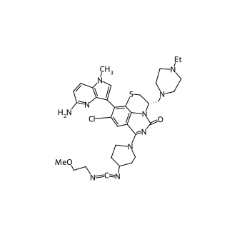 CCN1CCN(C[C@H]2CSc3c(-c4cn(C)c5ccc(N)nc45)c(Cl)cc4c(N5CCC(N=C=NCCOC)CC5)nc(=O)n2c34)CC1